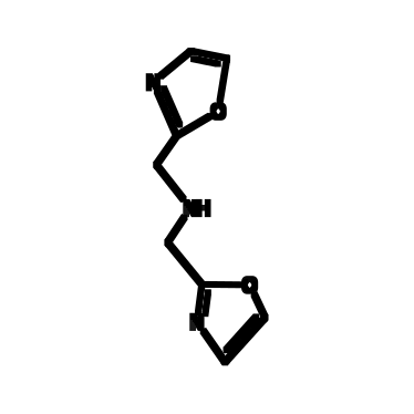 c1coc(CNCc2ncco2)n1